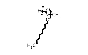 CCCCCCCCCCOCC1(C)COC(C(F)(F)F)=N1